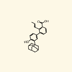 CC=Cc1c(C(=O)O)cccc1-c1ccc(O)c(C23CC4CC(CC(C4)C2)C3)c1